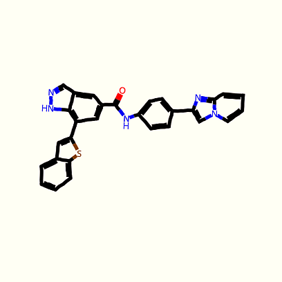 O=C(Nc1ccc(-c2cn3ccccc3n2)cc1)c1cc(-c2cc3ccccc3s2)c2[nH]ncc2c1